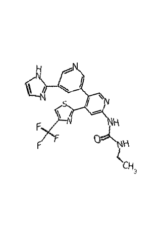 CCNC(=O)Nc1cc(-c2nc(C(F)(F)F)cs2)c(-c2cncc(-c3ncc[nH]3)c2)cn1